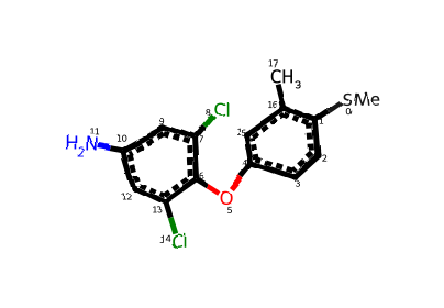 CSc1ccc(Oc2c(Cl)cc(N)cc2Cl)cc1C